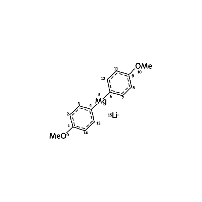 COc1cc[c]([Mg][c]2ccc(OC)cc2)cc1.[Li]